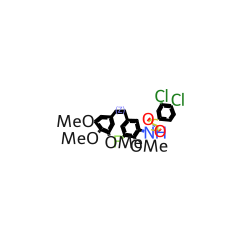 COc1cc(/C=C\c2cc(F)c(OC)c(NS(=O)(=O)c3ccc(Cl)c(Cl)c3)c2)cc(OC)c1OC